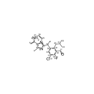 C=C(N)c1c(C)nc(C(C)c2cc(Cl)c(F)c(C=O)c2CC(C)C)n1/C=C\C